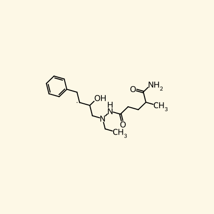 CCN(CC(O)[CH]Cc1ccccc1)NC(=O)CCC(C)C(N)=O